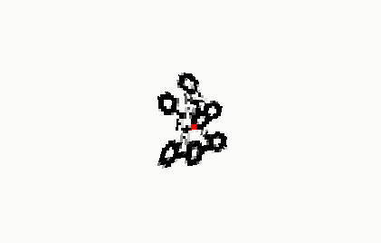 c1ccc(-c2nc(-c3ccccc3)nc(-n3c4ccccc4c4ccc5c6ccccc6n(-c6ccc(-c7nc8ccccc8s7)cc6)c5c43)n2)cc1